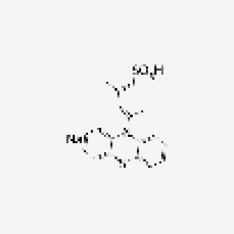 CC(=CS(=O)(=O)O)C=C(C)N1c2ccccc2Sc2ccccc21.[NaH]